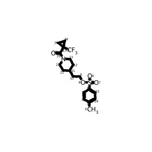 Cc1ccc(S(=O)(=O)OCCC2CCN(C(=O)C3(C(F)(F)F)CC3)CC2)cc1